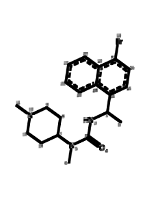 CC(NC(=O)N(C)C1CCN(C)CC1)c1ccc(Br)c2ccccc12